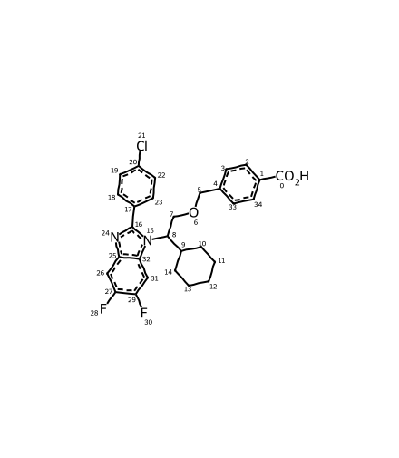 O=C(O)c1ccc(COCC(C2CCCCC2)n2c(-c3ccc(Cl)cc3)nc3cc(F)c(F)cc32)cc1